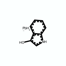 Oc1c[nH]c2ccccc12.[PbH2]